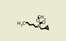 CCCCCN(CC1CC1)C(=O)OC